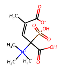 CC(=CC(C(=O)O)([N+](C)(C)C)S(=O)(=O)O)C(=O)[O-]